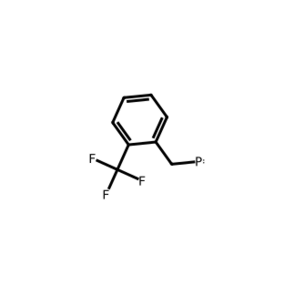 FC(F)(F)c1ccccc1C[P]